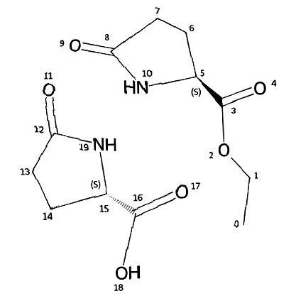 CCOC(=O)[C@@H]1CCC(=O)N1.O=C1CC[C@@H](C(=O)O)N1